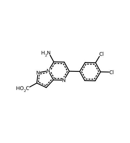 Nc1cc(-c2ccc(Cl)c(Cl)c2)nc2cc(C(=O)O)nn12